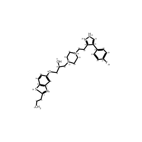 CCCc1nc2cc(OC[C@@H](O)CN3CCN(CCc4n[nH]cc4-c4ccc(F)cc4)CC3)ccc2s1